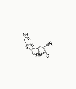 N#Cc1cc2c(ccc3sc(CC([NH])=O)nc32)[nH]c1=O